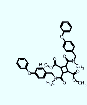 COC(=O)C1C(C(=O)N(C)Cc2ccc(Oc3ccccc3)cc2)C(C(=O)OC)C1C(=O)N(C)Cc1ccc(Oc2ccccc2)cc1